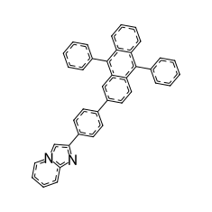 c1ccc(-c2c3ccccc3c(-c3ccccc3)c3cc(-c4ccc(-c5cn6ccccc6n5)cc4)ccc23)cc1